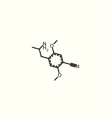 COc1cc(CC(C)N)c(OC)cc1C#N